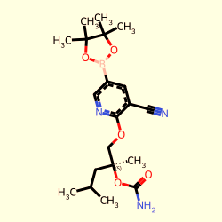 CC(C)C[C@@](C)(COc1ncc(B2OC(C)(C)C(C)(C)O2)cc1C#N)OC(N)=O